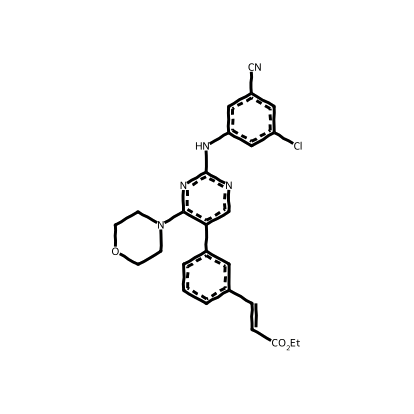 CCOC(=O)C=Cc1cccc(-c2cnc(Nc3cc(Cl)cc(C#N)c3)nc2N2CCOCC2)c1